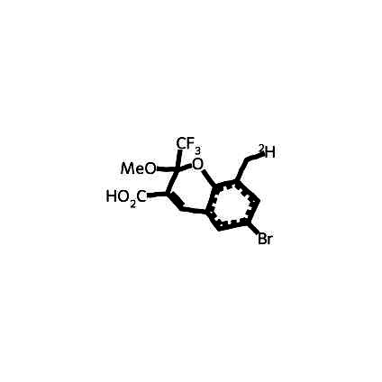 [2H]Cc1cc(Br)cc2c1OC(OC)(C(F)(F)F)C(C(=O)O)=C2